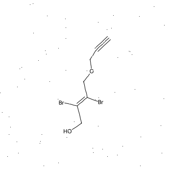 C#CCOCC(Br)=C(Br)CO